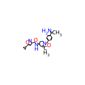 C[C@H](N)c1ccc(C(=O)N2CC[C@@H](NC(=O)c3cc(C4CC4)on3)C[C@H]2C)cc1